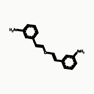 [AsH2]c1cccc(C=COC=Cc2cccc([AsH2])c2)c1